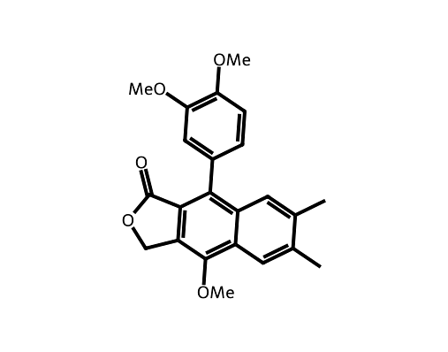 COc1ccc(-c2c3c(c(OC)c4cc(C)c(C)cc24)COC3=O)cc1OC